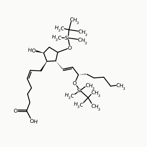 CCCCC[C@@H](/C=C/[C@H]1C(O[Si](C)(C)C(C)(C)C)C[C@H](O)[C@@H]1C/C=C\CCCC(=O)O)O[Si](C)(C)C(C)(C)C